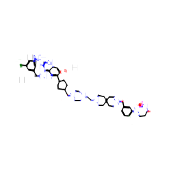 COc1cc2nc(C)nc(N[C@H](C)c3cc(N)cc(C(F)(F)F)c3)c2cc1C1CCC(C(=O)N2CCN(CCN3CCC4(CC3)CCN(C(=O)c3ccc(Cl)c(N5CCC(=O)NC5=O)c3)CC4)CC2)CC1